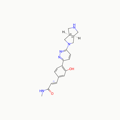 CNC(=O)/C=C/c1ccc(-c2ccc(N3C[C@H]4CNC[C@H]4C3)nn2)c(O)c1